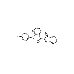 O=C(c1cc2ccccc2[nH]1)c1cccnc1Oc1ccc(F)cc1